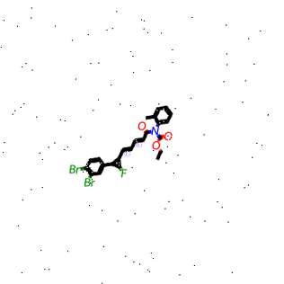 CCOC(=O)N(C(=O)/C=C/C=C/C1C(F)C1c1ccc(Br)c(Br)c1)c1ccccc1C